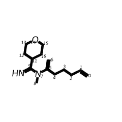 C=CCCCC(=C)N(C)C(=N)C1CCOCC1